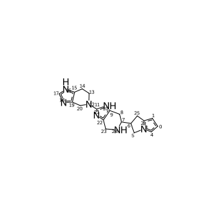 c1cc2n(c1)CC(C1Cc3[nH]c(N4CCc5[nH]cnc5C4)nc3CN1)C2